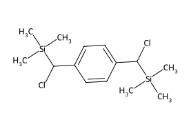 C[Si](C)(C)C(Cl)c1ccc(C(Cl)[Si](C)(C)C)cc1